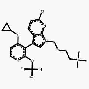 [2H]C([2H])([2H])Oc1nccc(OC2CC2)c1-c1cn(COCC[Si](C)(C)C)c2nc(Cl)ccc12